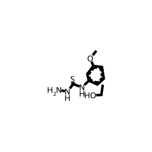 CCO.COc1cccc(NC(=S)NN)c1